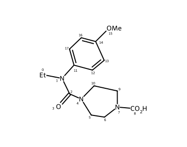 CCN(C(=O)N1CCN(C(=O)O)CC1)c1ccc(OC)cc1